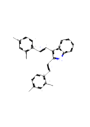 Cc1ccc(/C=C/c2[nH]c3ccccc3c2/C=C/c2ccc(C)cc2C)c(C)c1